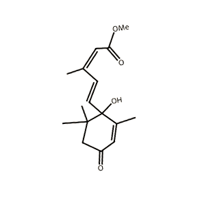 COC(=O)/C=C(C)\C=C\C1(O)C(C)=CC(=O)CC1(C)C